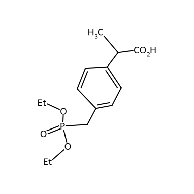 CCOP(=O)(Cc1ccc(C(C)C(=O)O)cc1)OCC